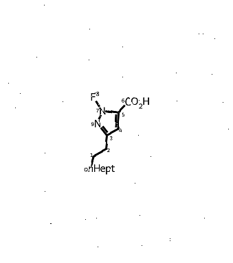 CCCCCCCCCc1cc(C(=O)O)n(F)n1